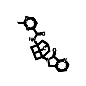 Cc1nccc(C(=O)NC23CC4CC5(N6Cc7cccnc7C6=O)CC(C2)C35C4)n1